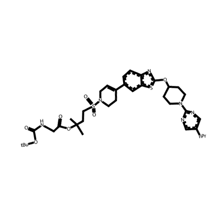 CCCc1cnc(N2CCC(Oc3nc4ccc(C5=CCN(S(=O)(=O)CCC(C)(C)OC(=O)CNC(=O)OC(C)(C)C)CC5)cc4s3)CC2)nc1